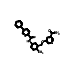 Cc1ccc(NC(=O)c2ccc(-c3ccccc3)cn2)cc1COc1cncc(C(N)=O)c1